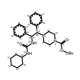 CC(C)(C)OC(=O)N1CCN([C@H](c2ccccc2)[C@@H](NC(=O)NC2CCCCC2)c2ccccc2)CC1